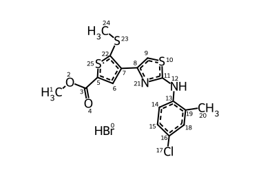 Br.COC(=O)c1cc(-c2csc(Nc3ccc(Cl)cc3C)n2)c(SC)s1